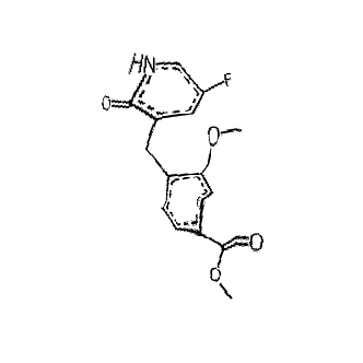 COC(=O)c1ccc(Cc2cc(F)c[nH]c2=O)c(OC)c1